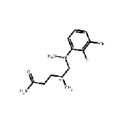 C[C@@H](CCC(N)=O)CN(C)c1cccc(Br)c1F